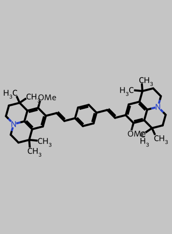 COc1c(C=Cc2ccc(C=Cc3cc4c5c(c3OC)C(C)(C)CCN5CCC4(C)C)cc2)cc2c3c1C(C)(C)CCN3CCC2(C)C